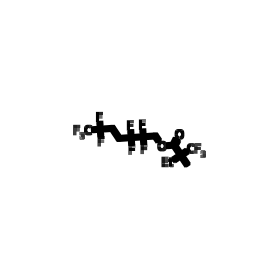 CCC(C)(C(=O)OCC(F)(F)C(F)(F)CCC(F)(F)C(F)(F)F)C(F)(F)F